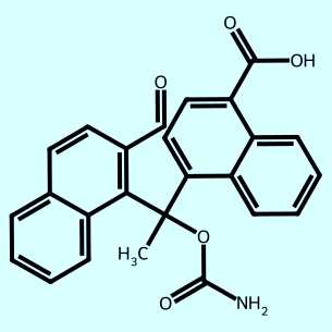 CC(OC(N)=O)(c1c(C=O)ccc2ccccc12)c1ccc(C(=O)O)c2ccccc12